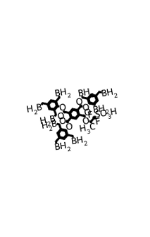 BCc1cc(B)c(OC(=O)c2cc(C(=O)Oc3c(CB)cc(CB)cc3CB)c(C(=O)Oc3c(CB)cc(CB)cc3CB)cc2C(=O)OC(C)C(F)(F)S(=O)(=O)O)c(CB)c1